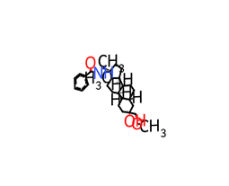 COC[C@@]1(O)CC[C@H]2[C@H](CC[C@@H]3[C@@H]2CC[C@]2(C)[C@@H](C(C)NC(=O)c4ccccc4)CC[C@@H]32)C1